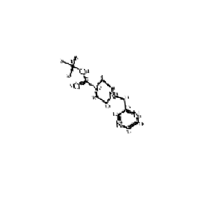 CC(C)(C)OC(=O)N1CCN(Cc2cnccn2)CC1